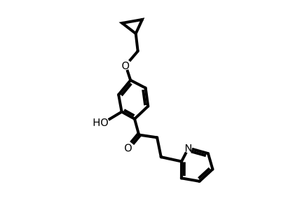 O=C(CCc1ccccn1)c1ccc(OCC2CC2)cc1O